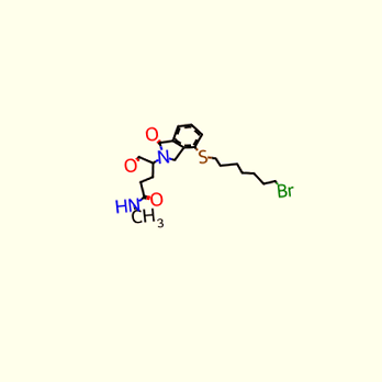 CNC(=O)CCC(C=O)N1Cc2c(SCCCCCCCBr)cccc2C1=O